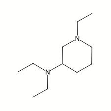 CCN1CCCC(N(CC)CC)C1